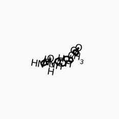 C[C@]12CC[C@H](NC(=O)N3CCNCC3)C[C@H]1CC[C@H]1C3=CC[C@H](c4ccc(=O)oc4)[C@@]3(C)CC[C@@H]12